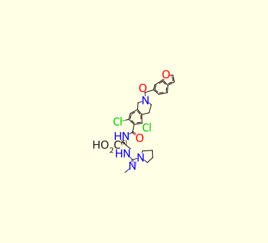 C/N=C(\NC[C@H](NC(=O)c1c(Cl)cc2c(c1Cl)CCN(C(=O)c1ccc3ccoc3c1)C2)C(=O)O)N1CCCC1